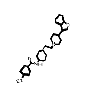 CCc1ccc(C(=O)N[C@H]2CC[C@H](CCN3CCC(c4coc5ccccc45)CC3)CC2)cc1